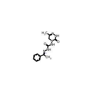 CC1=NNC(=O)N(NC(=O)N/N=C(\C)c2ccccc2)C1